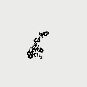 CCc1cccc2cccc(-c3ncc4c(N5CC6CCC(C6)C5)nc(OC[C@]56CCCN5[C@@H](COC(=O)N5CCOCC5)CC6)nc4c3F)c12